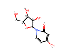 O=c1cc(O)ccn1C1O[C@H](CO)[C@@H](O)[C@H]1O